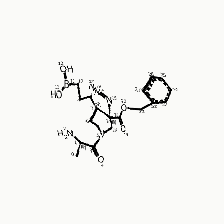 C[C@@H](N)C(=O)N1C[C@@H](CCCB(O)O)[C@](N=[N+]=[N-])(C(=O)OCc2ccccc2)C1